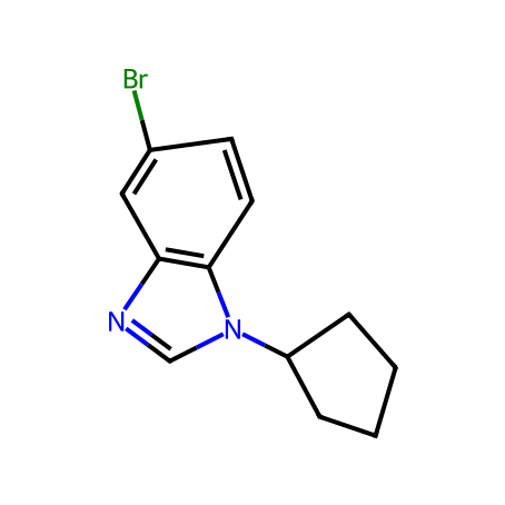 Brc1ccc2c(c1)ncn2C1CCCC1